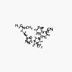 CN(C)CC#Cc1nnc([C@]23CN(c4ccc(C#N)c5ncccc45)C[C@@]2(C(F)(F)F)C3)o1